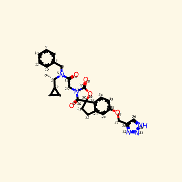 C[C@@H](C1CC1)N(Cc1ccccc1)C(=O)CN1C(=O)OC2(CCc3cc(OCc4c[nH]nn4)ccc32)C1=O